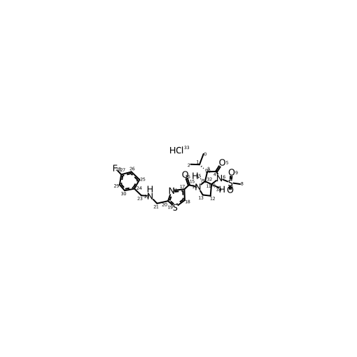 CC(C)[C@@H]1C(=O)N(S(C)(=O)=O)[C@@H]2CCN(C(=O)c3csc(CNCc4ccc(F)cc4)n3)[C@H]21.Cl